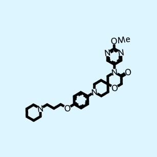 COc1ncc(N2CC3(CCN(c4ccc(OCCCN5CCCCC5)cc4)CC3)OCC2=O)cn1